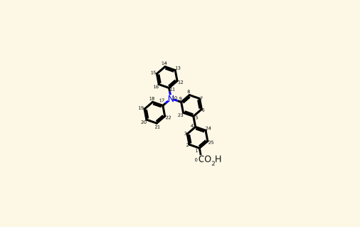 O=C(O)c1ccc(-c2cccc(N(c3ccccc3)c3ccccc3)c2)cc1